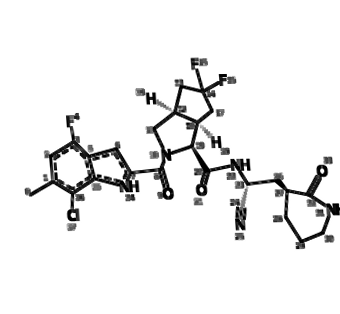 Cc1cc(F)c2cc(C(=O)N3C[C@H]4CC(F)(F)C[C@H]4[C@H]3C(=O)N[C@@H](C#N)C[C@@H]3CCCNC3=O)[nH]c2c1Cl